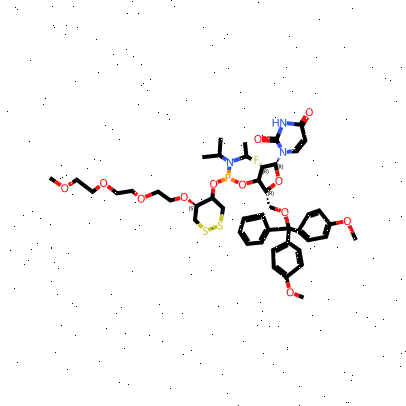 COCCOCCOCCO[C@@H]1CSSCC1OP(OC1[C@@H](F)[C@H](n2ccc(=O)[nH]c2=O)O[C@@H]1COC(c1ccccc1)(c1ccc(OC)cc1)c1ccc(OC)cc1)N(C(C)C)C(C)C